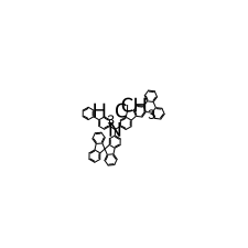 CC1(C)c2cc(N(c3ccc(-c4ccccc4)cc3)c3ccc4c(c3)C3(c5ccccc5-c5ccccc53)c3ccccc3-4)ccc2-c2cc3c4ccccc4c4ccccc4c3cc21